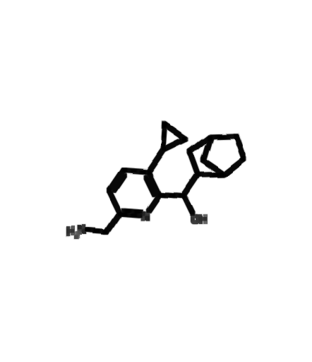 NCc1ccc(C2CC2)c(C(O)C2CC3CCC2C3)n1